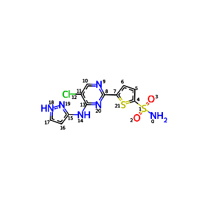 NS(=O)(=O)c1ccc(-c2ncc(Cl)c(Nc3cc[nH]n3)n2)s1